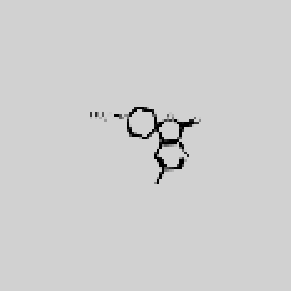 Cc1cnc2c(c1)C1(CCN(C(=O)O)CC1)OC2=O